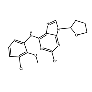 COc1c(Cl)cccc1Nc1nc(Br)nc2c1ncn2C1CCCO1